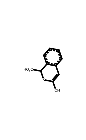 O=C(O)C1SC(O)=Cc2ccccc21